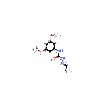 C/C=N/NC(=O)Nc1cc(OC)cc(OC)c1